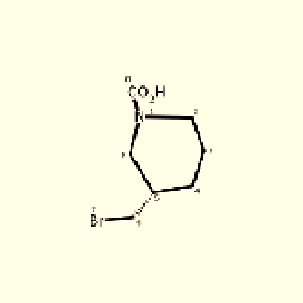 O=C(O)N1CCC[C@H](CBr)C1